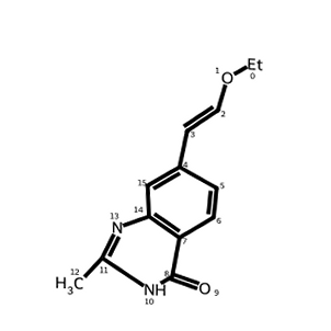 CCO/C=C/c1ccc2c(=O)[nH]c(C)nc2c1